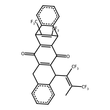 C/C(=C(\C1C2=C(Cc3ccccc31)C(=O)C1=C(C2=O)C2C(C(F)(F)F)=C(C(F)(F)F)C1c1ccccc12)C(F)(F)F)C(F)(F)F